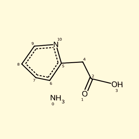 N.O=C(O)Cc1ccccn1